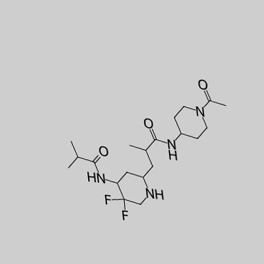 CC(=O)N1CCC(NC(=O)C(C)CC2CC(NC(=O)C(C)C)C(F)(F)CN2)CC1